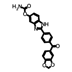 NC(=O)Oc1ccc2[nH]c(-c3ccc(C(=O)c4ccc5c(c4)OCO5)cc3)nc2c1